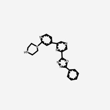 c1ccc(-c2nnc(-c3cncc(-c4ccnc(N5CCNCC5)c4)n3)o2)cc1